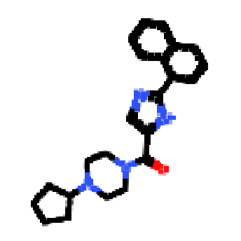 O=C(c1cnc(-c2cccc3ccccc23)[nH]1)N1CCN(C2CCCC2)CC1